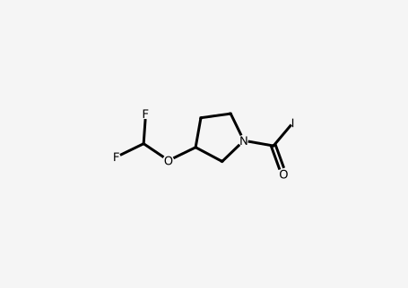 O=C(I)N1CCC(OC(F)F)C1